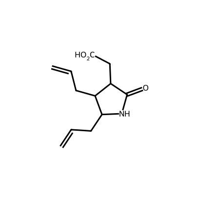 C=CCC1NC(=O)C(CC(=O)O)C1CC=C